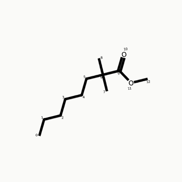 CCCCCCC(C)(C)C(=O)OC